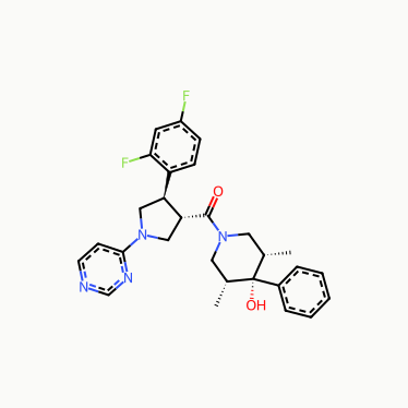 C[C@@H]1CN(C(=O)[C@@H]2CN(c3ccncn3)C[C@H]2c2ccc(F)cc2F)C[C@H](C)[C@@]1(O)c1ccccc1